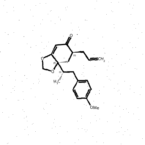 C=CC[C@H]1C[C@]2([C@@H](C)Cc3ccc(OC)cc3)OCOC2=CC1=O